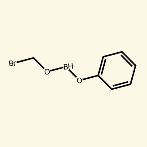 BrCOBOc1ccccc1